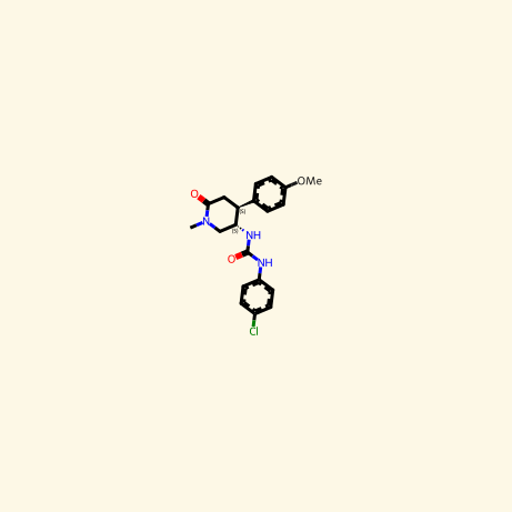 COc1ccc([C@@H]2CC(=O)N(C)C[C@H]2NC(=O)Nc2ccc(Cl)cc2)cc1